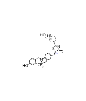 O=C1N=C(N2CCN[C@@H](CO)C2)S/C1=C\c1ccc2c(cnn2Cc2ccc(O)cc2C(F)(F)F)c1